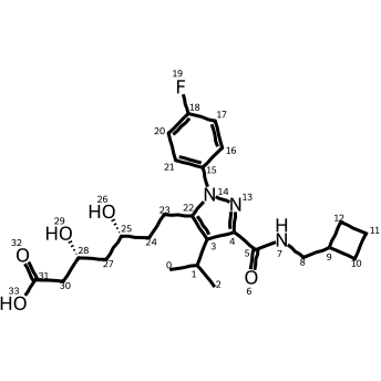 CC(C)c1c(C(=O)NCC2CCC2)nn(-c2ccc(F)cc2)c1CC[C@@H](O)C[C@@H](O)CC(=O)O